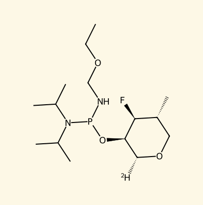 [2H][C@H]1OC[C@@H](C)[C@H](F)[C@@H]1OP(NCOCC)N(C(C)C)C(C)C